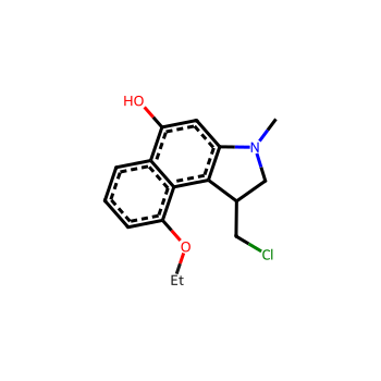 CCOc1cccc2c(O)cc3c(c12)C(CCl)CN3C